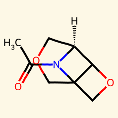 CC(=O)N1[C@H]2COCC13COC23